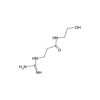 N=C(N)NCCC(=O)NCCO